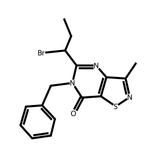 CCC(Br)c1nc2c(C)nsc2c(=O)n1Cc1ccccc1